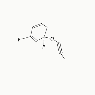 CC#COC1(F)C=C(F)C=CC1